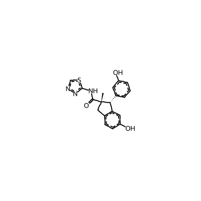 C[C@]1(C(=O)Nc2nncs2)Cc2ccc(O)cc2[C@H]1c1cccc(O)c1